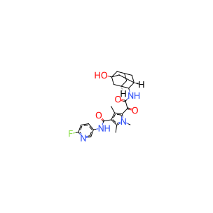 Cc1c(C(=O)Nc2ccc(F)nc2)c(C)n(C)c1C(=O)C(=O)NC1[C@@H]2CC3C[C@H]1CC(O)(C3)C2